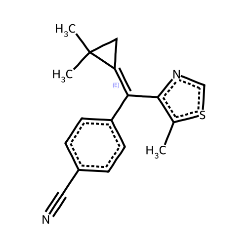 Cc1scnc1/C(=C1\CC1(C)C)c1ccc(C#N)cc1